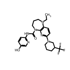 CCN1CCCN(C(=O)Nc2ccc(O)cn2)c2nc(N3CCCC(C(F)(F)F)C3)ccc21